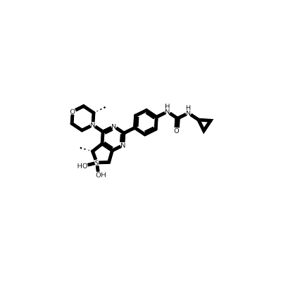 C[C@@H]1c2c(nc(-c3ccc(NC(=O)NC4CC4)cc3)nc2N2CCOC[C@@H]2C)CS1(O)O